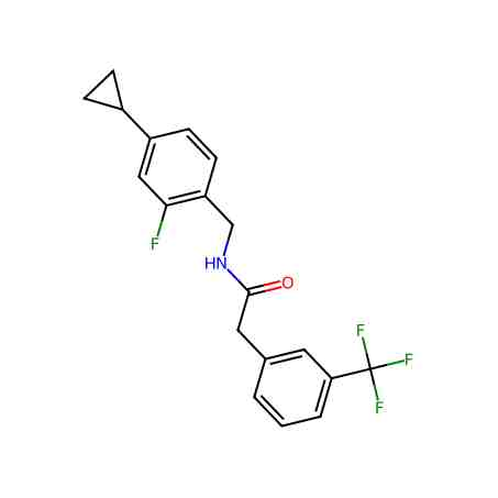 O=C(Cc1cccc(C(F)(F)F)c1)NCc1ccc(C2CC2)cc1F